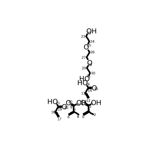 C=C(C)C(=O)O.C=C(C)C(=O)O.C=CC(=O)O.C=CC(=O)O.OCCOCCOCCO